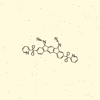 N#C/N=c1\c2cc(S(=O)(=O)c3ccccn3)ccc2c2cc3c(cc12)/c(=N\C#N)c1cc(S(=O)(=O)c2ccccn2)ccc13